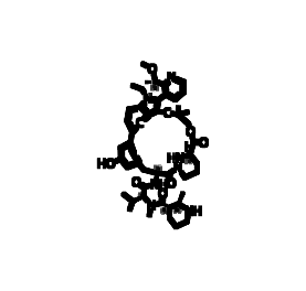 CCn1c(-c2cccnc2[C@H](C)OC)c2c3cc(ccc31)-c1cc(O)cc(c1)C[C@H](NC(=O)[C@H](C(C)C)N(C)C(=O)[C@H]1CCCN[C@@H]1C)C(=O)N1CCC[C@H](N1)C(=O)OCC(C)(C)C2